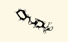 O=S(=O)(F)c1cnc(OCc2ccccc2)nc1